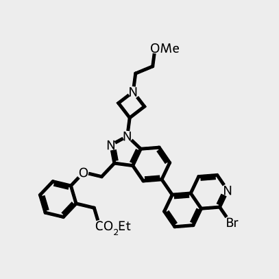 CCOC(=O)Cc1ccccc1OCc1nn(C2CN(CCOC)C2)c2ccc(-c3cccc4c(Br)nccc34)cc12